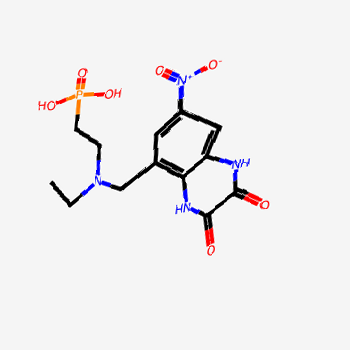 CCN(CCP(=O)(O)O)Cc1cc([N+](=O)[O-])cc2[nH]c(=O)c(=O)[nH]c12